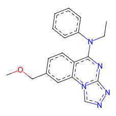 CCN(c1ccccc1)c1nc2nncn2c2cc(COC)ccc12